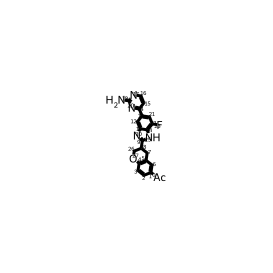 CC(=O)c1ccc2c(c1)CC(c1nc3cc(-c4ccnc(N)n4)cc(F)c3[nH]1)CO2